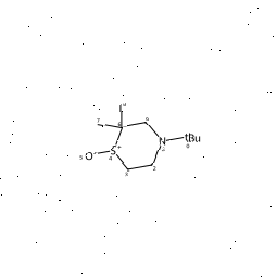 CC(C)(C)N1CC[S+]([O-])C(C)(C)C1